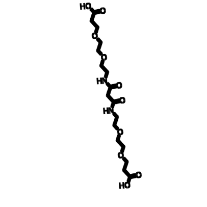 O=C(O)CCOCCOCCNC(=O)CC(=O)NCCOCCOCCC(=O)O